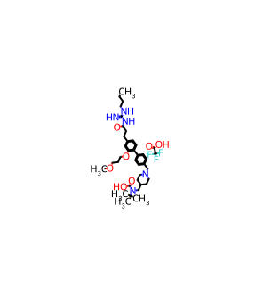 CCCCNC(=N)NC(=O)CCc1ccc(-c2ccc(CN3CCC(CN(C(=O)O)C(C)(C)C)CC3)cc2)c(OCCCOC)c1.O=C(O)C(F)(F)F